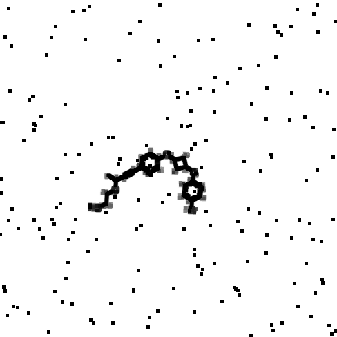 CC(C#Cc1ccc(OC2CC(Oc3ccc(Br)cn3)C2)cn1)OCCO